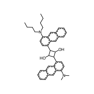 CCCCN(CCCC)c1ccc(C2C(O)C(c3ccc(N(C)C)c4cc5ccccc5cc34)C2O)c2cc3ccccc3cc12